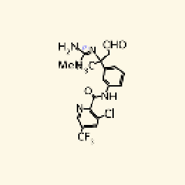 CN/C(N)=N\C(C)(CC=O)c1cccc(NC(=O)c2ncc(C(F)(F)F)cc2Cl)c1